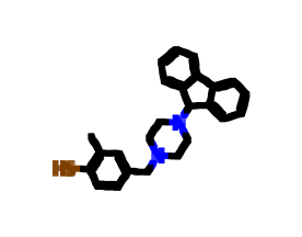 Cc1cc(CN2CCN(C3c4ccccc4-c4ccccc43)CC2)ccc1S